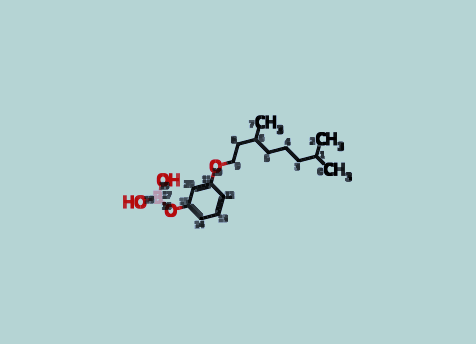 CC(C)CCCC(C)CCOc1cccc(OB(O)O)c1